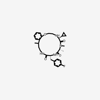 CC1CCNC(=O)[C@@H](Cc2ccc(F)cc2)NC(=O)[C@@H](C)N(C)C(=O)[C@H](C2CC2)NCCOc2ccccc21